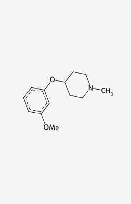 COc1cccc(OC2CCN(C)CC2)c1